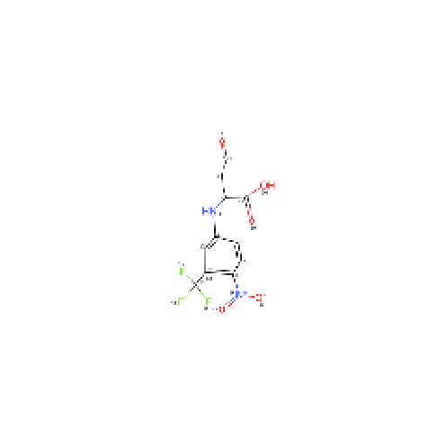 O=CCC(Nc1ccc([N+](=O)[O-])c(C(F)(F)F)c1)C(=O)O